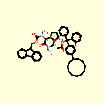 CN(C)C(=O)[C@H](CC(=O)OC(c1ccccc1)(c1ccc(C2CCCCCCCCCC2)cc1)c1ccccc1Cl)N(C)C(=O)[C@H](C1CCCC1)N(C)C(=O)OCC1c2ccccc2-c2ccccc21